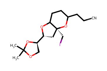 CC1(C)OC[C@H]([C@H]2C[C@]3(CI)OC(CCC#N)CCC3O2)O1